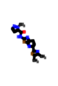 Cc1nc(-c2ccc3nc(NC(=O)c4ccnn4C)sc3n2)sc1C